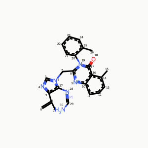 C=C(C)c1ncn(Cc2nc3cccc(C)c3c(=O)n2-c2ccccc2C)c1/N=C\N